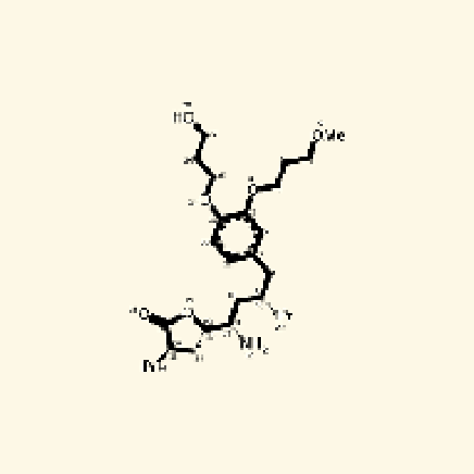 COCCCOc1cc(C[C@@H](C[C@H](N)[C@@H]2C[C@@H](C(C)C)C(=O)O2)C(C)C)ccc1OCCCO